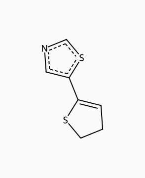 C1=C(c2cncs2)SCC1